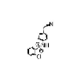 N#CCc1ccc(NS(=O)(=O)c2ccccc2Cl)cc1